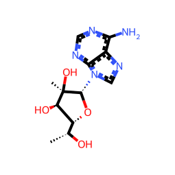 C[C@@H](O)[C@H]1O[C@@H](n2cnc3c(N)ncnc32)[C@](C)(O)[C@@H]1O